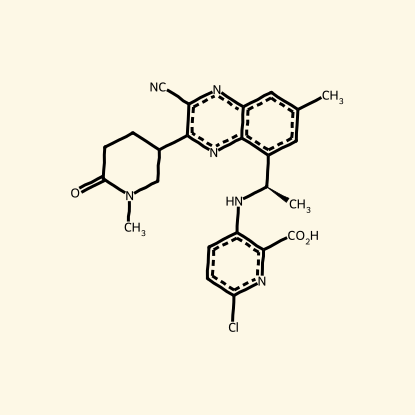 Cc1cc([C@@H](C)Nc2ccc(Cl)nc2C(=O)O)c2nc(C3CCC(=O)N(C)C3)c(C#N)nc2c1